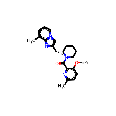 CCCOc1ccc(C)nc1C(=O)N1CCCC[C@H]1Cc1cn2cccc(C)c2n1